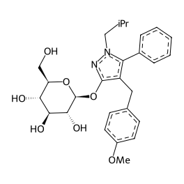 COc1ccc(Cc2c(O[C@@H]3O[C@H](CO)[C@@H](O)[C@H](O)[C@H]3O)nn(CC(C)C)c2-c2ccccc2)cc1